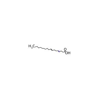 CCCCCCCCCCC=CCC/C=C/CCC(=O)O